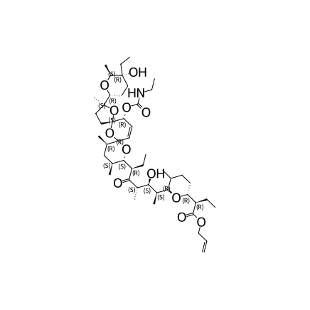 C=CCOC(=O)[C@H](CC)[C@H]1CCC(C)[C@H]([C@@H](C)[C@H](O)[C@H](C)C(=O)[C@H](CC)[C@H]2O[C@]3(C=C[C@@H](OC(=O)NCC)[C@]4(CC[C@@](C)([C@H]5CC[C@](O)(CC)[C@H](C)O5)O4)O3)[C@H](C)C[C@@H]2C)O1